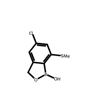 CSc1cc(Cl)cc2c1B(O)OC2